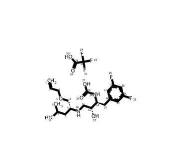 C=CCOC[C@@H](CC(C)C)NC[C@@H](O)[C@H](Cc1cc(F)cc(F)c1)NC(=O)O.O=C(O)C(F)(F)F